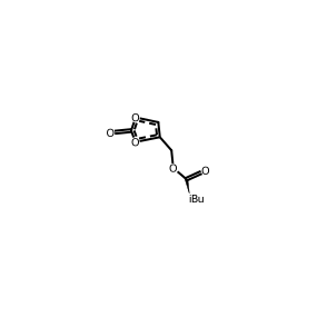 CC[C@H](C)C(=O)OCc1coc(=O)o1